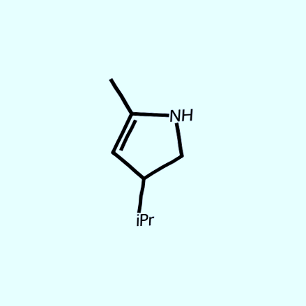 CC1=CC(C(C)C)CN1